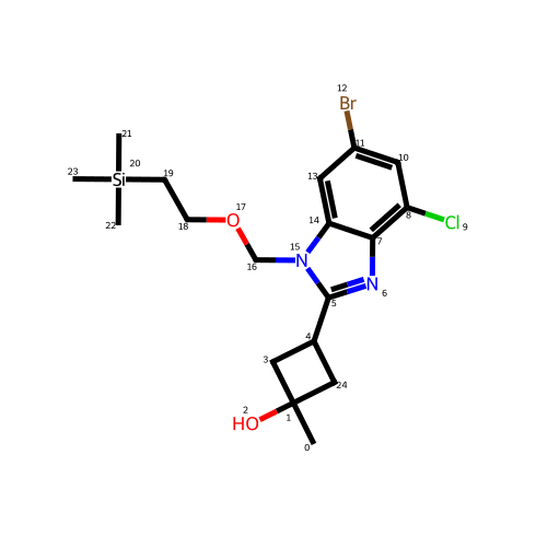 CC1(O)CC(c2nc3c(Cl)cc(Br)cc3n2COCC[Si](C)(C)C)C1